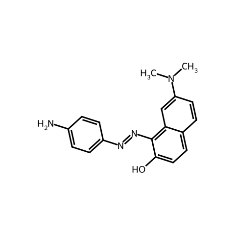 CN(C)c1ccc2ccc(O)c(N=Nc3ccc(N)cc3)c2c1